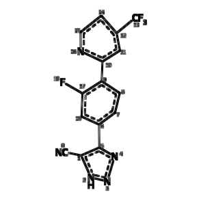 N#Cc1[nH]nnc1-c1ccc(-c2cc(C(F)(F)F)ccn2)c(F)c1